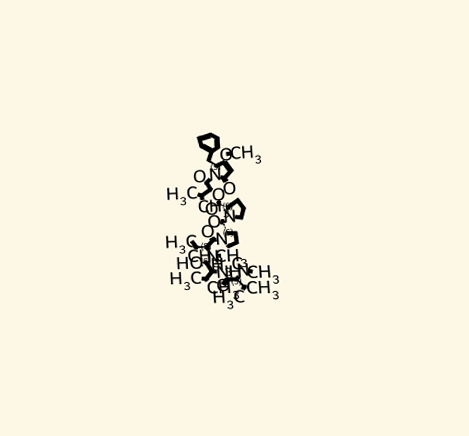 COC1=CC(=O)N(C(=O)C(OC(=O)[C@@H]2CCCN2C(=O)[C@@H]2CCCN2C(=O)[C@H](C(C)C)N(C)[C@@H](O)C(NC(=O)[C@H](C(C)C)N(C)C)C(C)C)C(C)C)[C@H]1Cc1ccccc1